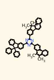 Cc1c(C)c2cc(-c3nc(-c4ccc5c(c4)-c4ccc6ccccc6c4C5(C)C)nc(-c4ccc5c(c4)-c4ccccc4C5(c4ccccc4)c4ccccc4)n3)ccc2c2ccccc12